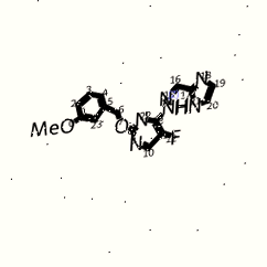 COc1cccc(COc2ncc(F)c(N/N=C\c3ncc[nH]3)n2)c1